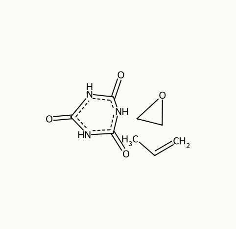 C1CO1.C=CC.O=c1[nH]c(=O)[nH]c(=O)[nH]1